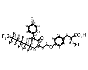 CCOC(Cc1ccc(OCCN(CC(F)(F)C(F)(F)C(F)(F)C(F)(F)C(F)(F)C(F)(F)F)C(=O)Nc2ccc(F)cc2)cc1)C(=O)O